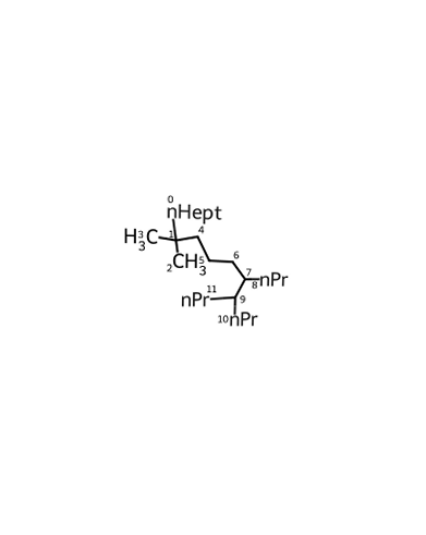 [CH2]CCCCCCC(C)(C)CCCC(CCC)C(CCC)CCC